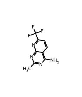 Cc1nc(N)c2ccc(C(F)(F)F)nc2n1